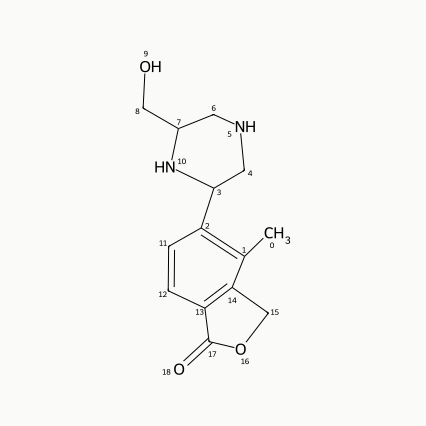 Cc1c(C2CNCC(CO)N2)ccc2c1COC2=O